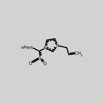 C=CCn1cc[n+](C(CCCCC)=S(=O)=O)c1